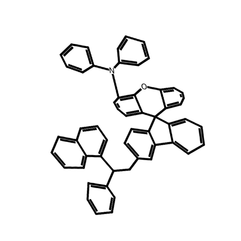 c1ccc(C(Cc2ccc3c(c2)-c2ccccc2C32c3ccccc3Oc3c(N(c4ccccc4)c4ccccc4)cccc32)c2cccc3ccccc23)cc1